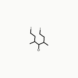 CC(CCI)C([O])C(C)CCI